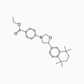 CCOC(=O)c1ccc(N2COC(c3ccc4c(c3)C(C)(C)CCC4(C)C)C2)cc1